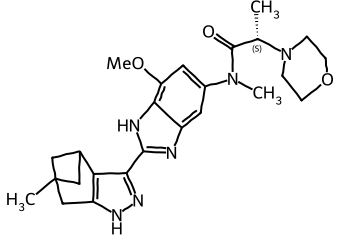 COc1cc(N(C)C(=O)[C@H](C)N2CCOCC2)cc2nc(-c3n[nH]c4c3C3CC(C)(C4)C3)[nH]c12